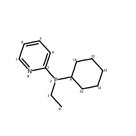 CCP(c1ccccn1)C1CCCCC1